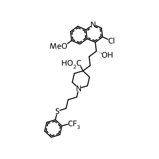 COc1ccc2ncc(Cl)c([C@H](O)CCC3(C(=O)O)CCN(CCCSc4ccccc4C(F)(F)F)CC3)c2c1